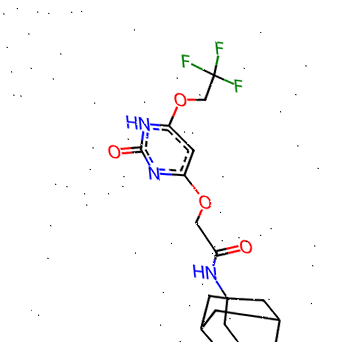 O=C(COc1cc(OCC(F)(F)F)[nH]c(=O)n1)NC12CC3CC(CC(C3)C1)C2